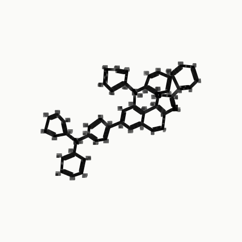 c1ccc(-c2nc3ccc4cc(-c5ccc(N(c6ccccc6)c6ccccc6)cc5)cc(N(c5ccccc5)c5ccccc5)c4c3o2)cc1